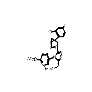 COCc1nnc(N2CC3CC3(c3ccc(F)cc3Cl)C2)n1-c1ccc(OC)nc1